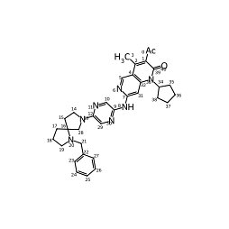 CC(=O)c1c(C)c2cnc(Nc3cnc(N4CCC5(CCCN5Cc5ccccc5)C4)cn3)cc2n(C2CCCC2)c1=O